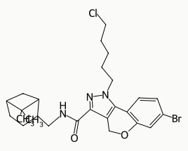 CC1(C)C2CCC(CNC(=O)c3nn(CCCCCCl)c4c3COc3cc(Br)ccc3-4)C1C2